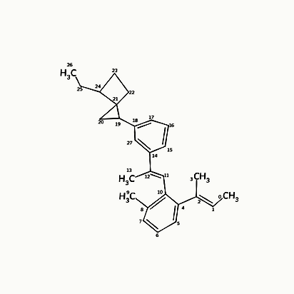 C/C=C(\C)c1cccc(C)c1/C=C(\C)c1cccc(C2CC23CCC3CC)c1